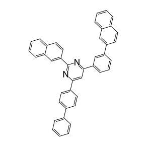 c1ccc(-c2ccc(-c3cc(-c4cccc(-c5ccc6ccccc6c5)c4)nc(-c4ccc5ccccc5c4)n3)cc2)cc1